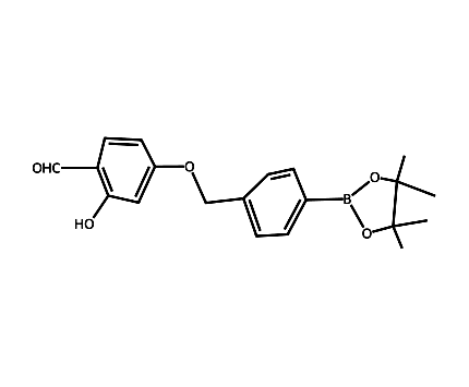 CC1(C)OB(c2ccc(COc3ccc(C=O)c(O)c3)cc2)OC1(C)C